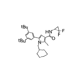 Cc1c(C(=O)NC2CC2(F)F)cc(-c2cc(C(C)(C)C)cc(C(C)(C)C)c2)n1CC1CCCCC1